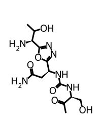 CC(=O)[C@H](CO)NC(=O)N[C@@H](CC(N)=O)c1nnc([C@@H](N)C(C)O)o1